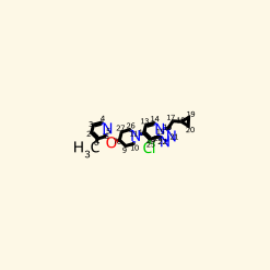 Cc1cccnc1OC1CCN(c2ccn3c(CC4CC4)nnc3c2Cl)CC1